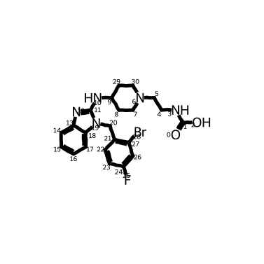 O=C(O)NCCN1CCC(Nc2nc3ccccc3n2Cc2ccc(F)cc2Br)CC1